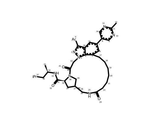 CC(=O)c1nn2c3c(cc(-c4cnc(C)nc4)cc13)CCCCCCC(=O)NC[C@@]1(F)C[C@@H](C(=O)N[C@H](C)CC(C)C)N(C1)C(=O)C2